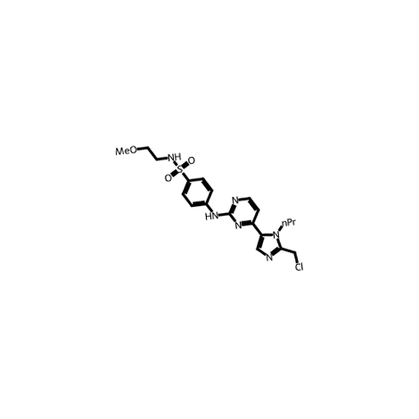 CCCn1c(-c2ccnc(Nc3ccc(S(=O)(=O)NCCOC)cc3)n2)cnc1CCl